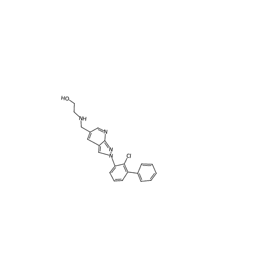 OCCNCc1cnc2nn(-c3cccc(-c4ccccc4)c3Cl)cc2c1